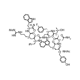 CNC(=N)NCCC[C@H](CC(=O)[C@H](CC(C)C)NC(=O)NCC(=O)[C@H](Cc1cccc(F)c1)NC(=O)[C@@H](CC(=O)[C@H](CC(N)=O)NC(=O)[C@@H](CC(=O)[C@@H](Cc1ccc(O)cc1)NC(C)=O)Cc1c[nH]c2ccccc12)[C@@H](C)O)C(=O)N[C@@H](Cc1c[nH]c2ccccc12)C(N)=O